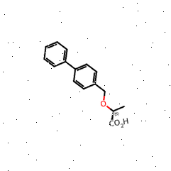 C[C@H](OCc1ccc(-c2ccccc2)cc1)C(=O)O